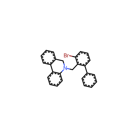 Brc1cccc(-c2ccccc2)c1CN1Cc2ccccc2-c2ccccc21